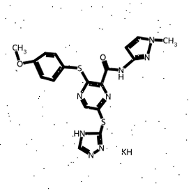 COc1ccc(Sc2ncc(Sc3nnc[nH]3)nc2C(=O)Nc2ccn(C)n2)cc1.[KH]